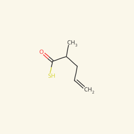 C=CCC(C)C(=O)S